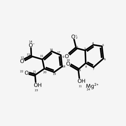 O=C([O-])c1ccccc1C(=O)O.O=C([O-])c1ccccc1C(=O)O.[Mg+2]